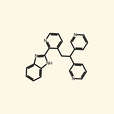 c1cncc(C(Cc2cccnc2-c2nc3ccccc3[nH]2)c2cccnc2)c1